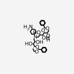 N[C@H]1CC[C@@H](N(C[C@H](O)[C@@H](O)[C@H]2CCOC(c3ccccc3)O2)C[C@H](O)[C@@H](O)[C@@H]2OC(c3ccccc3)OC[C@H]2O)CC1